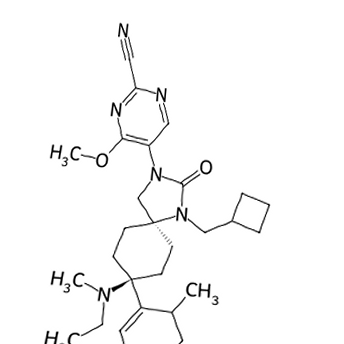 CCN(C)[C@]1(C2=CC=CCC2C)CC[C@]2(CC1)CN(c1cnc(C#N)nc1OC)C(=O)N2CC1CCC1